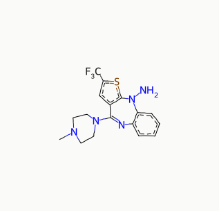 CN1CCN(C2=Nc3ccccc3N(N)c3sc(C(F)(F)F)cc32)CC1